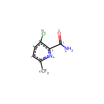 NC(=O)c1nc(C(F)(F)F)ccc1Cl